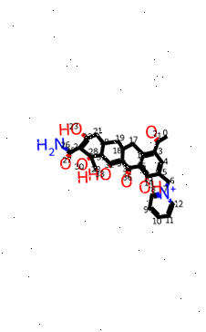 CC(=O)c1cc(C[n+]2ccccc2)c(O)c2c1CC1CC3CC(O)=C(C(N)=O)C(C)(O)C3C(O)=C1C2=O